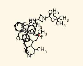 C[C@H]1CN=C2N=NC(C3CCCCO3)C23C=C[C@H](c2c(F)cc(NC4CN(C(=O)OC(C)(C)C)C4)cc2F)C(CC(C)(F)CO[Si](c2ccccc2)(c2ccccc2)C(C)(C)C)C13